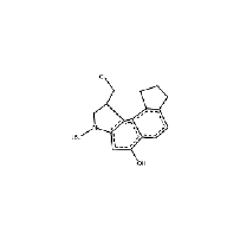 CC(C)(C)N1CC(CCl)c2c1cc(O)c1ccc3c(c21)CCC3